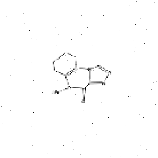 CCCn1c2c(n3cnnc3c1=O)CCCC2